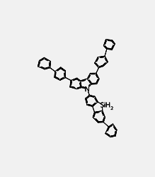 c1ccc(-c2ccc(-c3ccc4c(c3)c3cc(-c5ccc(-c6ccccc6)cc5)ccc3n4-c3ccc4c(c3)[SiH2]c3cc(-c5ccccc5)ccc3-4)cc2)cc1